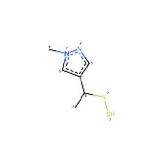 CC(SS)c1cnn(C)c1